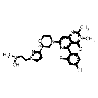 Cc1nc2cc(N3CCO[C@H](c4ccn(CCN(C)C)n4)C3)nc(-c3ccc(Cl)cc3F)c2c(=O)n1C